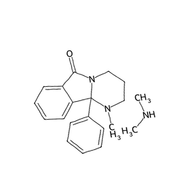 CN1CCCN2C(=O)c3ccccc3C12c1ccccc1.CNC